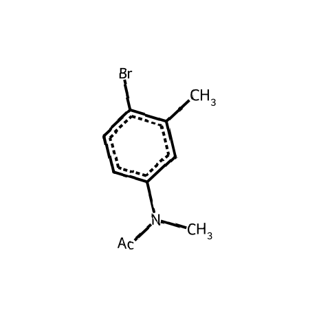 CC(=O)N(C)c1ccc(Br)c(C)c1